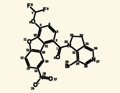 O=C(c1ccc(OC(F)F)c2oc3ccc([N+](=O)[O-])cc3c12)N1CCc2cncc(Br)c21